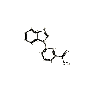 COC(=O)c1ccnc(-n2cnc3ccccc32)n1